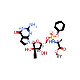 C#CC1(O)[C@@H](O)[C@@H](COP(=O)(N[C@@H](C)C(=O)OC(C)C)Oc2ccccc2)O[C@H]1n1ccc2c(=O)[nH]c(N)nc21